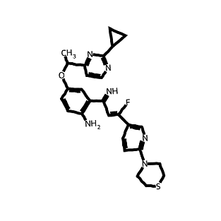 CC(Oc1ccc(N)c(C(=N)/C=C(\F)c2ccc(N3CCSCC3)nc2)c1)c1ccnc(C2CC2)n1